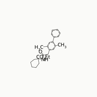 CCOC(=O)C1(NC(=O)Cc2cc(C)c(-c3ccccc3)cc2C)CCCCC1